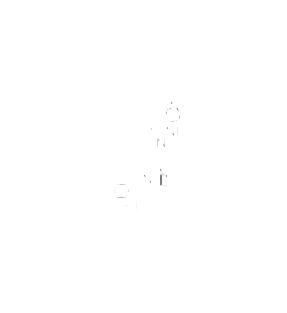 NC(C(=O)NCC1(c2ccc(F)cc2Cl)CC1)C1CCN(C(=O)Nc2ccncc2)CC1